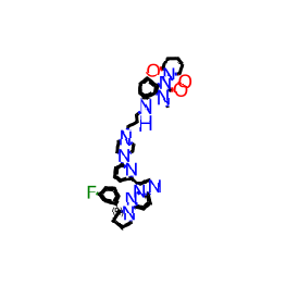 Cn1c(=O)n(N2C(=O)CCCC2=O)c2cccc(NCCCN3CCN(c4cccc(-c5cnc6ccc(N7CCC[C@@H]7c7cccc(F)c7)nn56)n4)CC3)c21